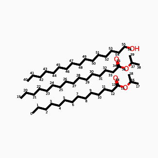 CCCCCCCCCCCCCC(=O)OC(C)C.CCCCCCCCCCCCCCCC(=O)OC(C)C.CCCCCCCCCCCCCCCCO